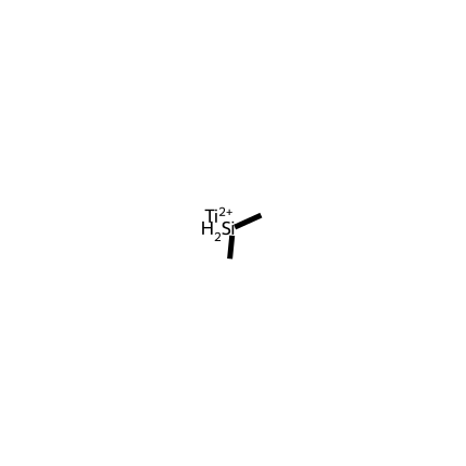 C[SiH2]C.[Ti+2]